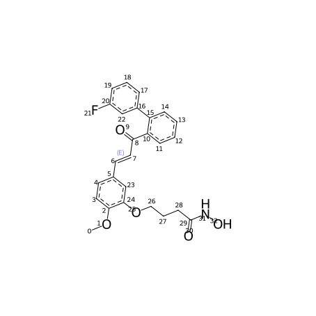 COc1ccc(/C=C/C(=O)c2ccccc2-c2cccc(F)c2)cc1OCCCC(=O)NO